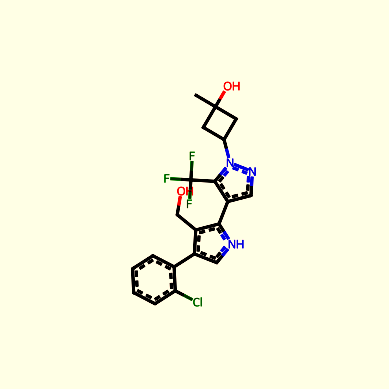 CC1(O)CC(n2ncc(-c3[nH]cc(-c4ccccc4Cl)c3CO)c2C(F)(F)F)C1